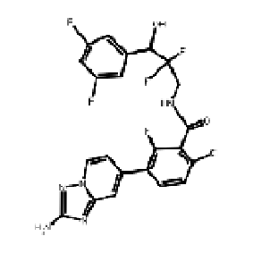 Nc1nc2cc(-c3ccc(Cl)c(C(=O)NCC(F)(F)C(O)c4cc(F)cc(F)c4)c3F)ccn2n1